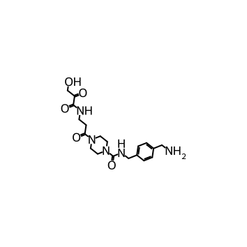 NCc1ccc(CNC(=O)N2CCN(C(=O)CCNC(=O)C(=O)CO)CC2)cc1